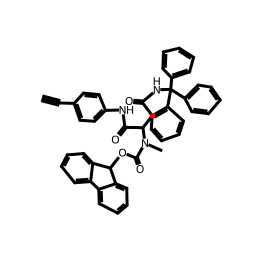 C#Cc1ccc(NC(=O)C(CC(=O)NC(c2ccccc2)(c2ccccc2)c2ccccc2)N(C)C(=O)OC2c3ccccc3-c3ccccc32)cc1